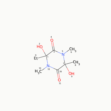 CCC1(O)C(=O)N(C)C(C)(O)C(=O)N1C